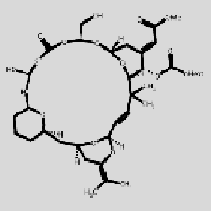 CCCCCCCC(=O)O[C@H]1/C(=C/C(=O)OC)C[C@H]2C[C@H](CO)OC(=O)C[C@H](O)C[C@@H]3CCC[C@H](C[C@@H]4CC(=C(C)C)O[C@H](/C=C/C(C)(C)[C@]1(O)O2)O4)O3